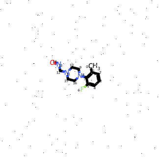 Cc1cccc(F)c1N1CCN(CN=O)CC1